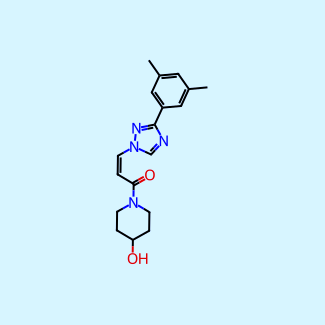 Cc1cc(C)cc(-c2ncn(/C=C\C(=O)N3CCC(O)CC3)n2)c1